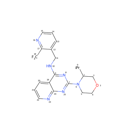 CC(C)C1COCCN1c1nc(NCc2cccnc2C(F)(F)F)c2cccnc2n1